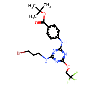 CC(C)(C)OC(=O)c1ccc(Nc2nc(NCCCBr)nc(OCC(F)(F)F)n2)cc1